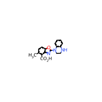 Cc1ccc2oc(N3CCNc4ccccc43)nc2c1C(=O)O